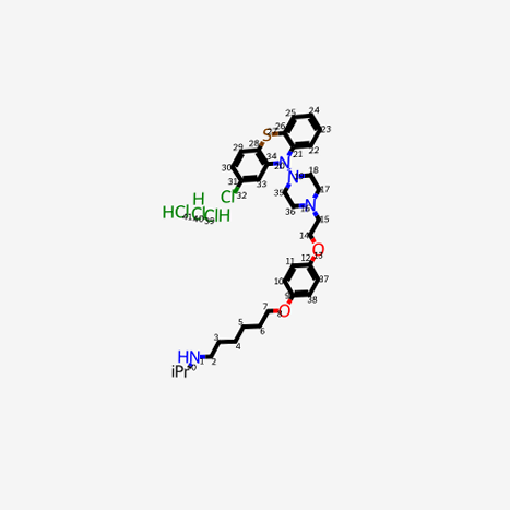 CC(C)NCCCCCCOc1ccc(OCCN2CCN(N3c4ccccc4Sc4ccc(Cl)cc43)CC2)cc1.Cl.Cl.Cl